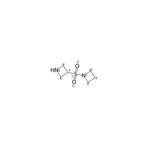 O=S(=O)(C1CNC1)N1CCC1